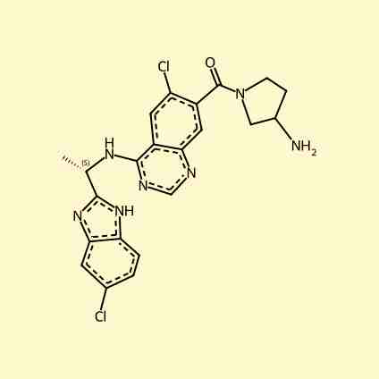 C[C@H](Nc1ncnc2cc(C(=O)N3CCC(N)C3)c(Cl)cc12)c1nc2cc(Cl)ccc2[nH]1